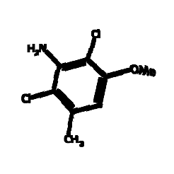 COc1cc(C)c(Cl)c(N)c1Cl